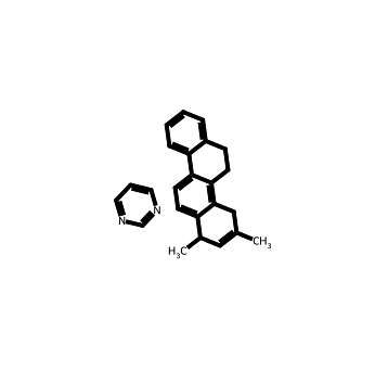 CC1=CC(C)c2ccc3c(c2C1)CCc1ccccc1-3.c1cncnc1